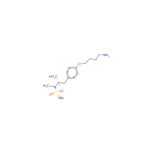 CCCCS(=O)(=O)N(C)[C@@H](Cc1ccc(OCCCCN)cc1)C(=O)O